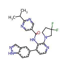 CC(C)c1ncc(C(=O)Nc2c(-c3ccc4[nH]ncc4c3)ccnc2N2CCC(F)(F)C2)cn1